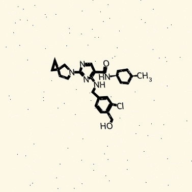 C[C@H]1CC[C@@H](NC(=O)c2cnc(N3CCC4(CC4)C3)nc2NCc2ccc(CO)c(Cl)c2)CC1